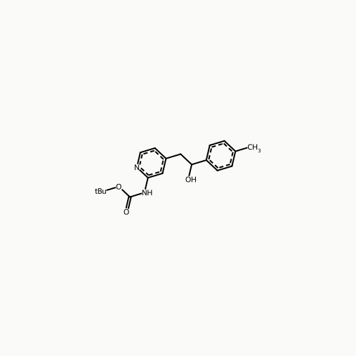 Cc1ccc(C(O)Cc2ccnc(NC(=O)OC(C)(C)C)c2)cc1